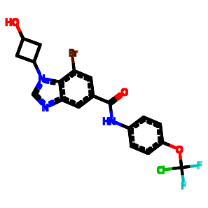 O=C(Nc1ccc(OC(F)(F)Cl)cc1)c1cc(Br)c2c(c1)ncn2C1CC(O)C1